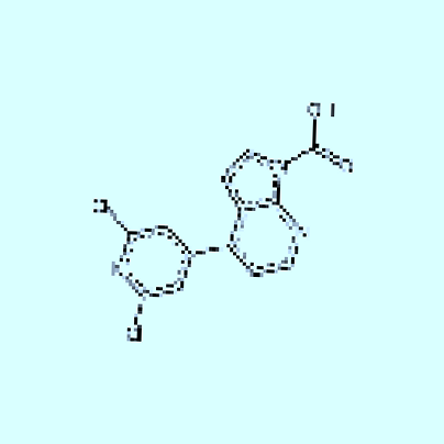 O=C(O)n1ccc2c(-c3cc(Cl)nc(Cl)c3)ccnc21